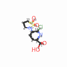 O=C(O)c1ccc(N2CCCS2(=O)=O)c(Cl)n1